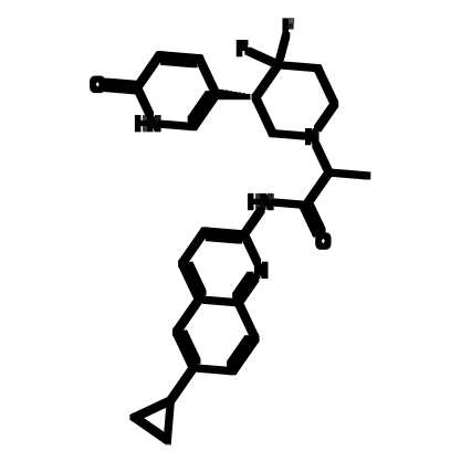 CC(C(=O)Nc1ccc2cc(C3CC3)ccc2n1)N1CCC(F)(F)[C@@H](c2ccc(=O)[nH]c2)C1